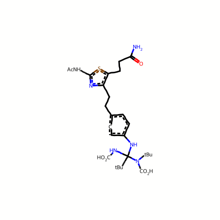 CC(=O)Nc1nc(CCc2ccc(NC(NC(=O)O)(N(C(=O)O)C(C)(C)C)C(C)(C)C)cc2)c(CCC(N)=O)s1